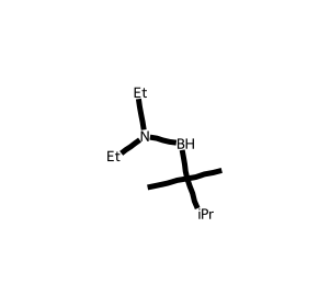 CCN(BC(C)(C)C(C)C)CC